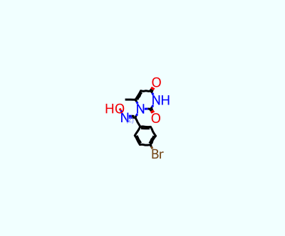 Cc1cc(=O)[nH]c(=O)n1/C(=N\O)c1ccc(Br)cc1